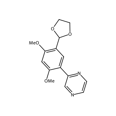 COc1cc(OC)c(C2OCCO2)cc1-c1cnccn1